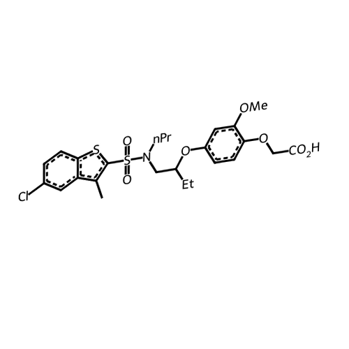 CCCN(CC(CC)Oc1ccc(OCC(=O)O)c(OC)c1)S(=O)(=O)c1sc2ccc(Cl)cc2c1C